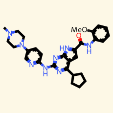 COc1ccccc1NC(=O)c1cc2c(C3CCCC3)nc(Nc3ccc(N4CCN(C)CC4)cn3)nc2[nH]1